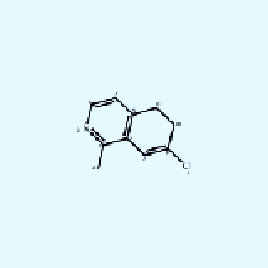 Cc1nccc2c1C=C(Cl)CC2